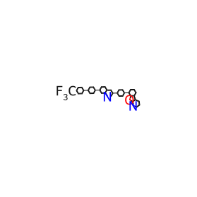 FC(F)(F)c1ccc(-c2ccc(-c3ccc4cc(-c5ccc(-c6cccc7c6oc6ncccc67)cc5)cnc4c3)cc2)cc1